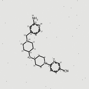 N#Cc1ccc(N2CCC(OC3CCN(Cc4ccnc(N)c4)CC3)CC2)nc1